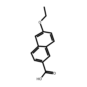 CCOc1ccc2cc(C(=O)O)ccc2c1